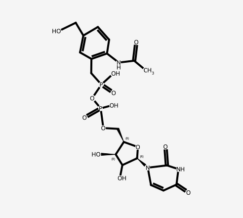 CC(=O)Nc1ccc(CO)cc1CP(=O)(O)OP(=O)(O)OC[C@H]1O[C@@H](n2ccc(=O)[nH]c2=O)C(O)[C@H]1O